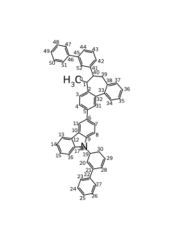 CC1c2ccc(-c3ccc4c(c3)c3ccccc3n4C3C=C(c4ccccc4)C=CC3)cc2-c2ccccc2CC1c1cccc(-c2ccccc2)c1